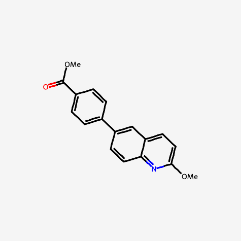 COC(=O)c1ccc(-c2ccc3nc(OC)ccc3c2)cc1